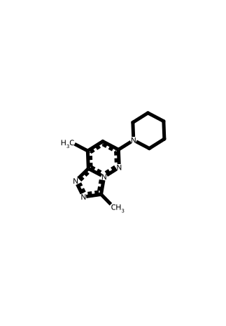 Cc1cc(N2CCCCC2)nn2c(C)nnc12